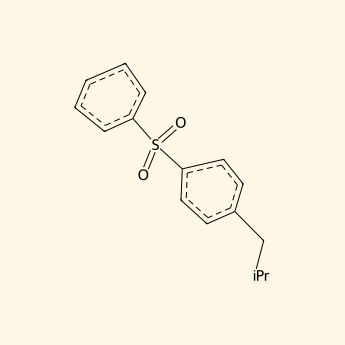 CC(C)Cc1ccc(S(=O)(=O)c2ccccc2)cc1